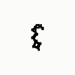 COC=CC1C=CC1